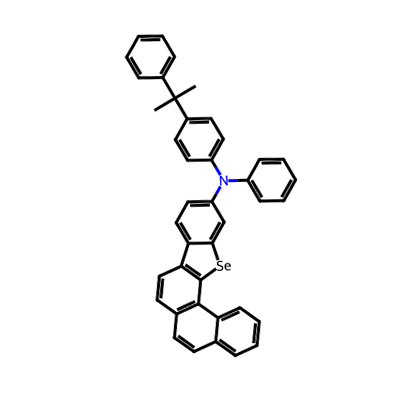 CC(C)(c1ccccc1)c1ccc(N(c2ccccc2)c2ccc3c(c2)[se]c2c3ccc3ccc4ccccc4c32)cc1